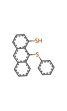 Sc1cccc2cc3ccccc3c(Sc3ccccc3)c12